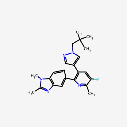 Cc1nc(-c2ccc3c(c2)nc(C)n3C)c(-c2cnn(CC(C)(C)C(F)(F)F)c2)cc1F